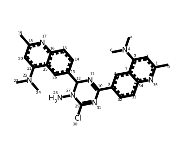 Cc1cc(N(C)C)c2cc(C3=NC(c4ccc5nc(C)cc(N(C)C)c5c4)N(N)C(Cl)=N3)ccc2n1